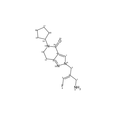 NCC(=CF)Cn1cc2c(n1)CCN(C1CCCC1)C2=O